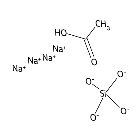 CC(=O)O.[Na+].[Na+].[Na+].[Na+].[O-][Si]([O-])([O-])[O-]